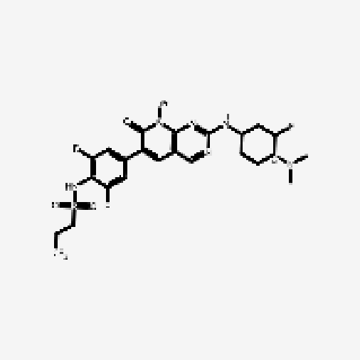 CC(C)n1c(=O)c(-c2cc(F)c(NS(=O)(=O)CCC(F)(F)F)c(F)c2)cc2cnc(NC3CC[C@H](N(C)C)C(F)C3)nc21